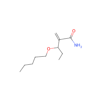 C=C(C(N)=O)C(CC)OCCCCC